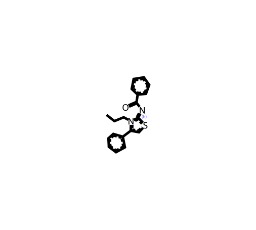 CCCn1c(-c2ccccc2)cs/c1=N/C(=O)c1ccccc1